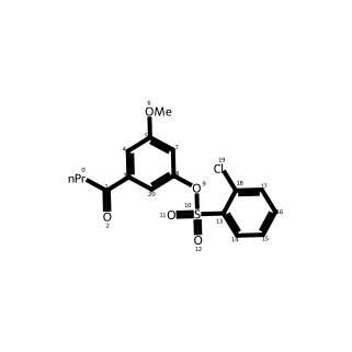 CCCC(=O)c1cc(OC)cc(OS(=O)(=O)c2ccccc2Cl)c1